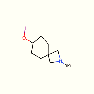 CC(C)N1CC2(CCC(OI)CC2)C1